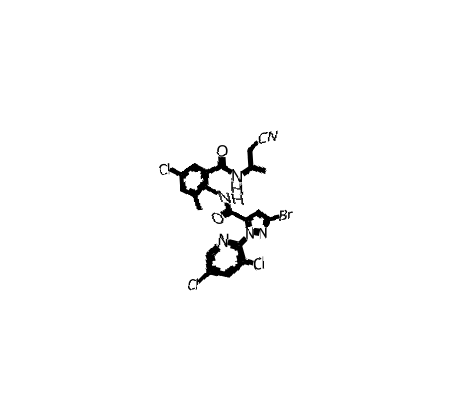 Cc1cc(Cl)cc(C(=O)NC(C)CC#N)c1NC(=O)c1cc(Br)nn1-c1ncc(Cl)cc1Cl